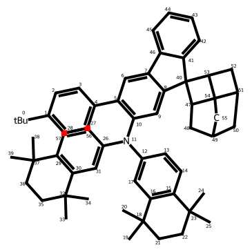 CC(C)(C)c1ccc(-c2cc3c(cc2N(c2ccc4c(c2)C(C)(C)CCC4(C)C)c2ccc4c(c2)C(C)(C)CCC4(C)C)C2(c4ccccc4-3)C3CC4CC5CC2C53C4)cc1